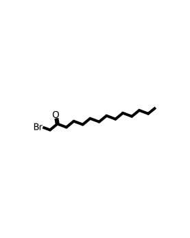 CCCCCCCCCCCCC(=O)CBr